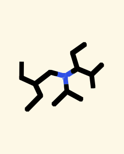 CCC(CC)CN(C(C)C)C(CC)C(C)C